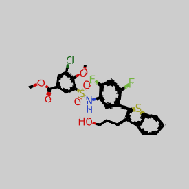 COC(=O)c1cc(Cl)c(OC)c(S(=O)(=O)Nc2cc(-c3sc4ccccc4c3CCCO)c(F)cc2F)c1